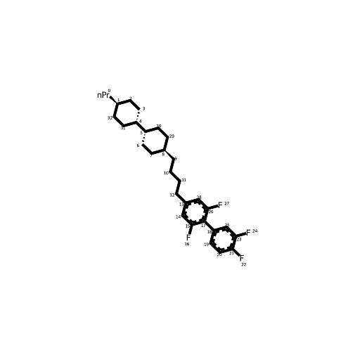 CCC[C@H]1CC[C@H]([C@H]2CC[C@H](CCCCc3cc(F)c(-c4ccc(F)c(F)c4)c(F)c3)CC2)CC1